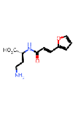 NCC[C@@H](NC(=O)C=Cc1ccco1)C(=O)O